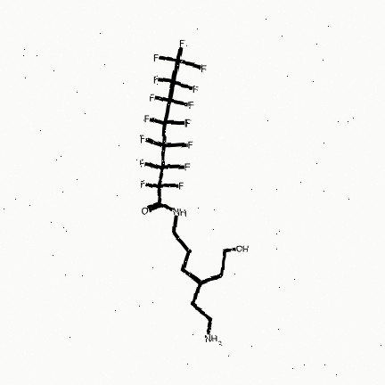 NCCC(CCO)CCCNC(=O)C(F)(F)C(F)(F)C(F)(F)C(F)(F)C(F)(F)C(F)(F)C(F)(F)F